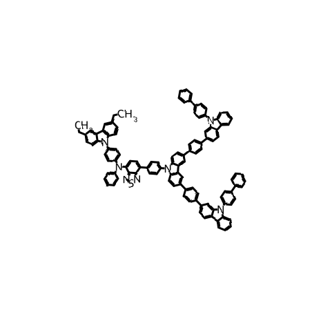 CCc1ccc2c(c1)c1cc(CC)ccc1n2-c1ccc(N(c2ccccc2)c2ccc(-c3ccc(-n4c5ccc(-c6ccc(-c7ccc8c9ccccc9n(-c9ccc(-c%10ccccc%10)cc9)c8c7)cc6)cc5c5cc(-c6ccc(-c7ccc8c9ccccc9n(-c9ccc(-c%10ccccc%10)cc9)c8c7)cc6)ccc54)cc3)c3nsnc23)cc1